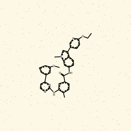 CCOc1ccc(-c2cn(C)c3cc(NC(=O)c4ccc(C)c(Nc5nccc(-c6cccc(OC)c6)n5)c4)ccc23)cn1